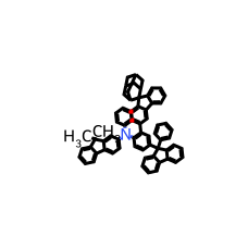 CC1(C)c2ccccc2-c2ccc(N(c3ccccc3)c3ccc(C4(c5ccccc5)c5ccccc5-c5ccccc54)cc3-c3ccc4c(c3)-c3ccccc3C43C4CC5CC(C4)CC3C5)cc21